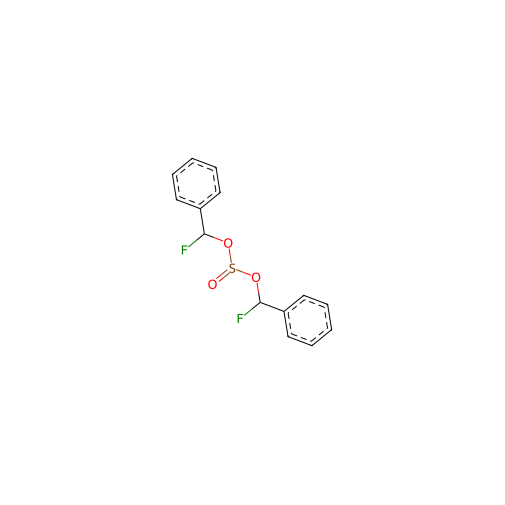 O=S(OC(F)c1ccccc1)OC(F)c1ccccc1